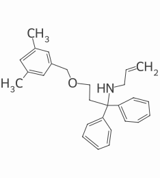 C=CCNC(CCOCc1cc(C)cc(C)c1)(c1ccccc1)c1ccccc1